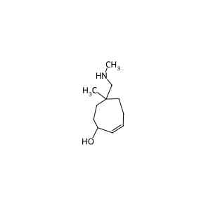 CNCC1(C)CC/C=C\C(O)CC1